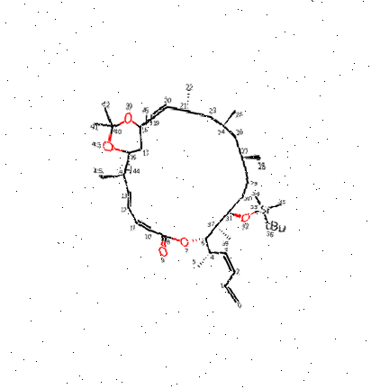 C=C/C=C\[C@H](C)[C@@H]1OC(=O)/C=C\C=C\[C@@H](C)[C@@H]2C[C@@H](/C=C\[C@H](C)C[C@@H](C)C[C@@H](C)CC[C@@H](O[Si](C)(C)C(C)(C)C)[C@@H]1C)OC(C)(C)O2